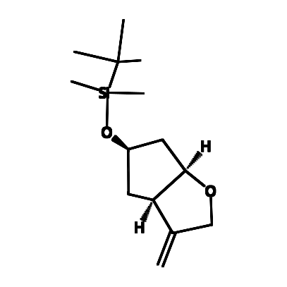 C=C1CO[C@@H]2C[C@H](O[Si](C)(C)C(C)(C)C)C[C@H]12